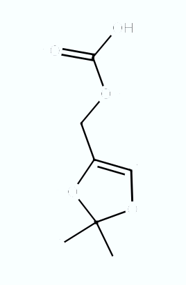 CC1(C)OC=C(COC(=O)O)O1